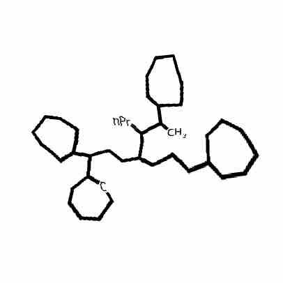 CCCC(C(CCCC1CCCCCC1)CCC(C1CCCCCC1)C1CCCCCC1)C(C)C1CCCCCC1